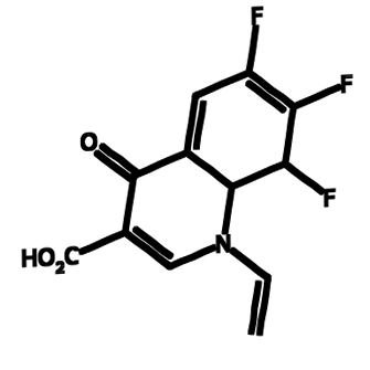 C=CN1C=C(C(=O)O)C(=O)C2=CC(F)=C(F)C(F)C21